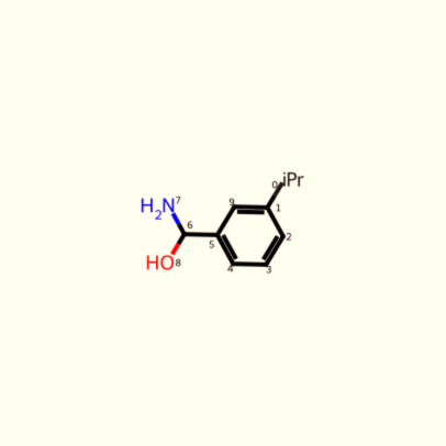 CC(C)c1cccc(C(N)O)c1